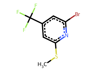 CSc1cc(C(F)(F)F)cc(Br)n1